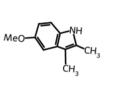 COc1ccc2[nH]c(C)c(C)c2c1